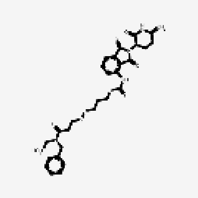 C=C1CCC(N2C(=O)c3cccc(NC(=O)OCCCSSCCC(=O)N(CC(=O)O)Cc4ccccc4)c3C2=O)C(=O)N1